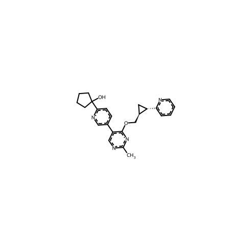 Cc1ncc(-c2ccc(C3(O)CCCC3)nc2)c(OC[C@H]2C[C@@H]2c2ccccn2)n1